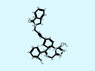 Cc1nnc2n1-c1ccc(C#CCN3Cc4ccccc4C3=O)cc1C(c1ccccc1F)=NC2